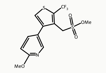 COc1ccc(-c2csc(C(F)(F)F)c2CS(=O)(=O)OC)cn1